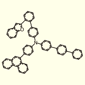 c1ccc(-c2ccc(-c3ccc(N(c4ccc(-c5ccccc5-c5cc6ccccc6o5)cc4)c4ccc(-c5cc6ccccc6c6ccccc56)cc4)cc3)cc2)cc1